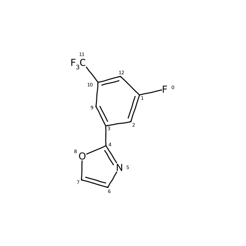 Fc1cc(-c2ncco2)cc(C(F)(F)F)c1